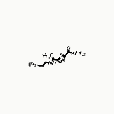 CC(C)CCNC(C)c1nnc(C(N)=O)s1